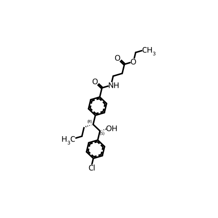 CCC[C@H](c1ccc(C(=O)NCCC(=O)OCC)cc1)[C@H](O)c1ccc(Cl)cc1